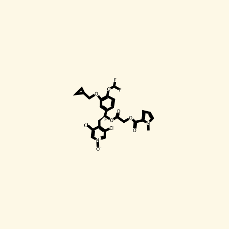 Cn1cccc1C(=O)OCC(=O)O[C@@H](Cc1c(Cl)c[n+]([O-])cc1Cl)c1ccc(OC(F)F)c(OCC2CC2)c1